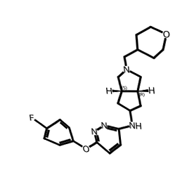 Fc1ccc(Oc2ccc(NC3C[C@@H]4CN(CC5CCOCC5)C[C@@H]4C3)nn2)cc1